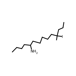 CCCCC(N)CCCCCC(C)(I)CCC